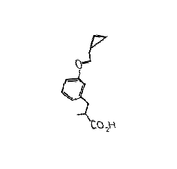 CC(Cc1cccc(OCC2CC2)c1)C(=O)O